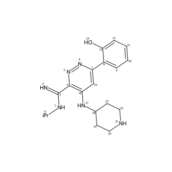 CC(C)NC(=N)c1nnc(-c2ccccc2O)cc1NC1CCNCC1